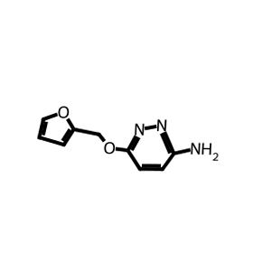 Nc1ccc(OCc2ccco2)nn1